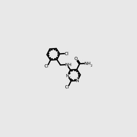 NC(=O)c1cnc(Cl)nc1NCc1c(Cl)cccc1Cl